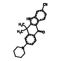 CC1(C)c2cc(N3CCCCC3)ccc2C(=O)c2c1[nH]c1cc(C#N)ccc21